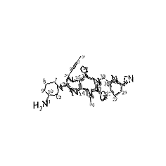 CC#CCn1c(N2CCCC(N)C2)nc2c1c(=O)n(Cc1cccc(C#N)n1)c(=O)n2C